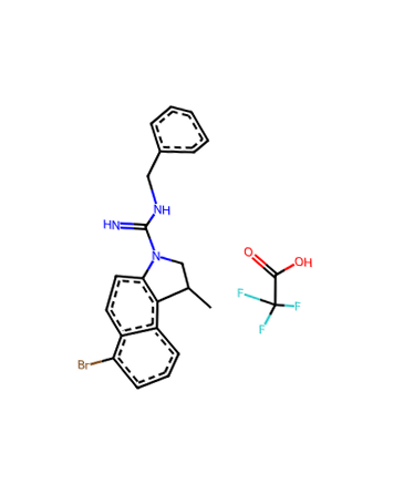 CC1CN(C(=N)NCc2ccccc2)c2ccc3c(Br)cccc3c21.O=C(O)C(F)(F)F